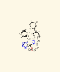 CCOC(=O)CC(Cc1ccc(-c2ccccc2)cc1)NC(=O)c1nnnn1Cc1ccccc1